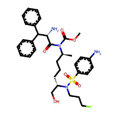 COC(=O)N(C(=O)[C@@H](N)C(c1ccccc1)c1ccccc1)[C@@H](C)CCC[C@@H](CO)N(CCCF)S(=O)(=O)c1ccc(N)cc1